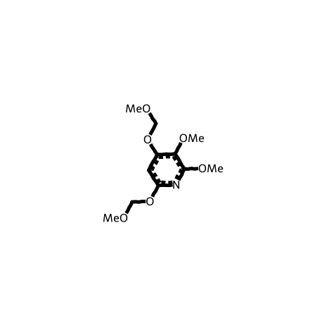 COCOc1cc(OCOC)c(OC)c(OC)n1